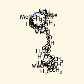 COCC(C)OCC(C)OCC(C)OCC(C)OCC(C)OCC(C)OCC(C)OCCOCC(C)OCC(C)N1C(=O)c2cccc3c(NCSCC(=O)OCCO[C@@H]4CC[C@@H](C[C@H](C)[C@@H]5CC(=O)[C@H](C)/C=C(\C)[C@@H](O)[C@@H](OC)C(=O)C(C)C[C@H](C)/C=C/C=C/C=C(\C)[C@@H](OC)C[C@@H]6CC[C@@H](C)[C@@](O)(C6)C(=O)C(=O)N6CCCCC6C(=O)O5)C[C@H]4OC)ccc(c23)C1=O